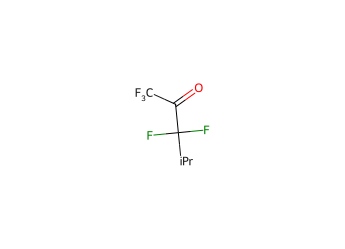 CC(C)C(F)(F)C(=O)C(F)(F)F